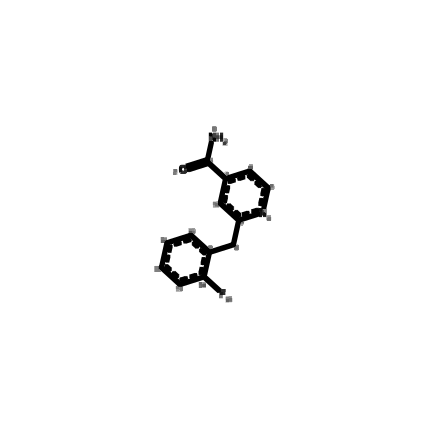 NC(=O)c1ccnc(Cc2ccccc2F)c1